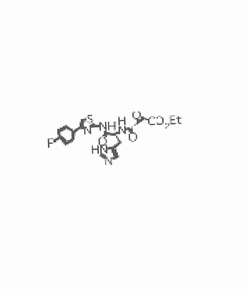 CCOC(=O)[C@@H]1O[C@H]1C(=O)N[C@@H](Cc1cnc[nH]1)C(=O)Nc1nc(-c2ccc(F)cc2)cs1